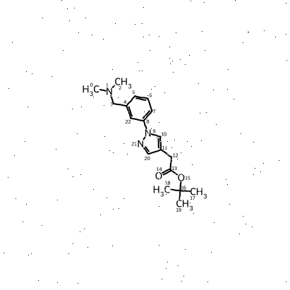 CN(C)Cc1cccc(-n2cc(CC(=O)OC(C)(C)C)cn2)c1